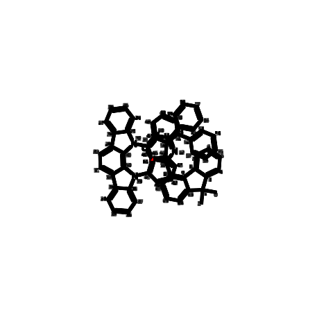 CC1(C)c2ccccc2-c2c(-c3nc(-c4ccccc4)nc(-n4c5ccccc5c5ccc6c7ccccc7n(-c7cccc8c7oc7cccc(-c9ccccc9)c78)c6c54)n3)cccc21